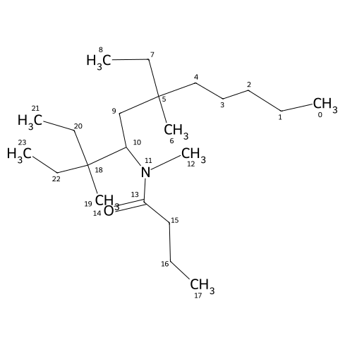 CCCCCC(C)(CC)CC(N(C)C(=O)CCC)C(C)(CC)CC